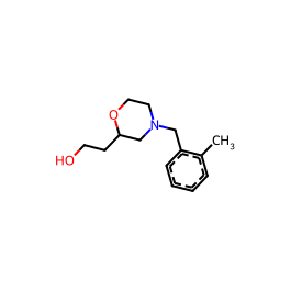 Cc1ccccc1CN1CCOC(CCO)C1